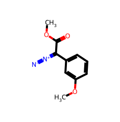 COC(=O)C(=[N+]=[N-])c1cccc(OC)c1